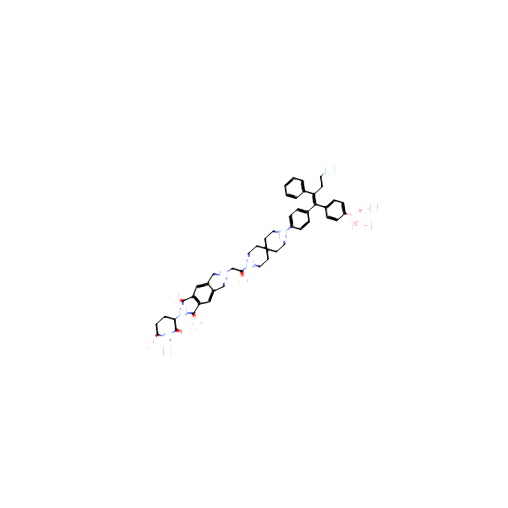 O=C1CCC(N2C(=O)c3cc4c(cc3C2=O)CN(CC(=O)N2CCC3(CC2)CCN(c2ccc(C(=C(CCCl)c5ccccc5)c5ccc(B(O)O)cc5)cc2)CC3)C4)C(=O)N1